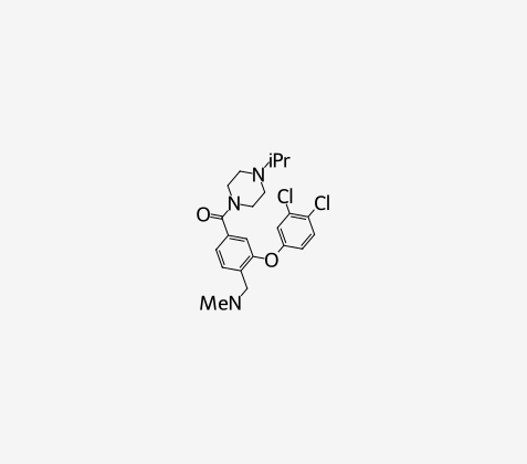 CNCc1ccc(C(=O)N2CCN(C(C)C)CC2)cc1Oc1ccc(Cl)c(Cl)c1